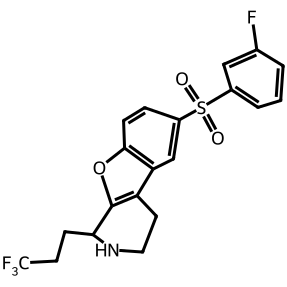 O=S(=O)(c1cccc(F)c1)c1ccc2oc3c(c2c1)CCNC3CCC(F)(F)F